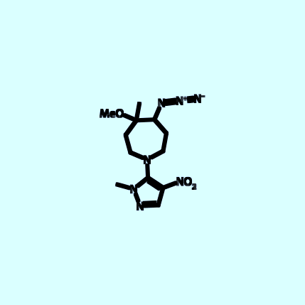 COC1(C)CCN(c2c([N+](=O)[O-])cnn2C)CCC1N=[N+]=[N-]